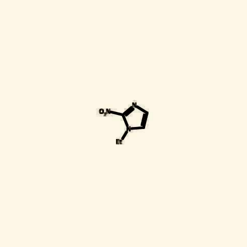 CCn1ccnc1[N+](=O)[O-]